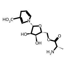 C[C@H](N)C(=O)OC[C@H]1O[C@@H](N2C=CCC(C(=O)O)=C2)[C@H](O)[C@@H]1O